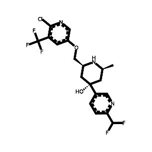 C[C@H]1C[C@@](O)(c2ccc(C(F)F)nc2)C[C@@H](COc2cnc(Cl)c(C(F)(F)F)c2)N1